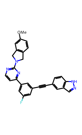 COc1ccc2c(c1)CN(c1nccc(-c3cc(F)cc(C#Cc4ccc5[nH]ncc5c4)c3)n1)C2